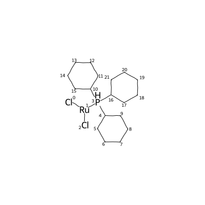 [Cl][Ru]([Cl])[PH](C1CCCCC1)(C1CCCCC1)C1CCCCC1